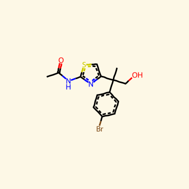 CC(=O)Nc1nc(C(C)(CO)c2ccc(Br)cc2)cs1